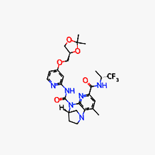 Cc1cc(C(=O)N[C@H](C)C(F)(F)F)nc2c1N1CC[C@@H](C1)N2C(=O)Nc1cc(OC[C@H]2COC(C)(C)O2)ccn1